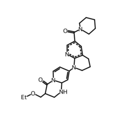 CCOCC1CNC2C=C(N3CCCc4cc(C(=O)N5CCCCC5)cnc43)C=CN2C1=O